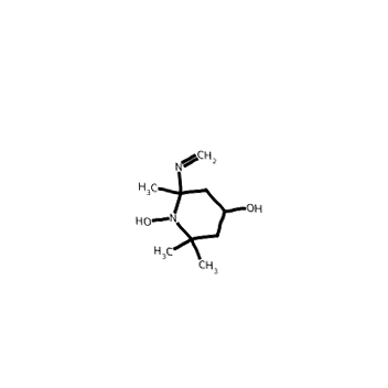 C=NC1(C)CC(O)CC(C)(C)N1O